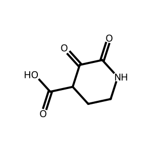 O=C1NCCC(C(=O)O)C1=O